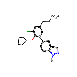 CCn1ncc2cc(-c3cc(CCC(=O)O)cc(F)c3OC3CCCC3)ccc21